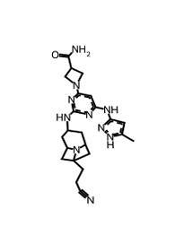 Cc1cc(Nc2cc(N3CC(C(N)=O)C3)nc(NC3CC4CC5(CCC#N)CC(C3)N45)n2)n[nH]1